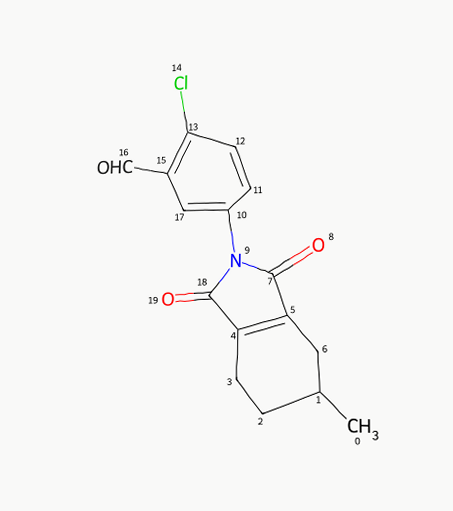 CC1CCC2=C(C1)C(=O)N(c1ccc(Cl)c(C=O)c1)C2=O